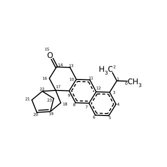 CC(C)c1cccc2cc3c(cc12)CC(=O)CC31CC2=CCC1C2